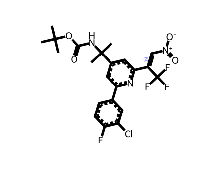 CC(C)(C)OC(=O)NC(C)(C)c1cc(/C(=C/[N+](=O)[O-])C(F)(F)F)nc(-c2ccc(F)c(Cl)c2)c1